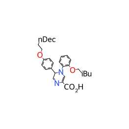 CCCCCCCCCCCCOc1ccc(C2C=NC(C(=O)O)=CN2c2ccccc2OCC(C)CC)cc1